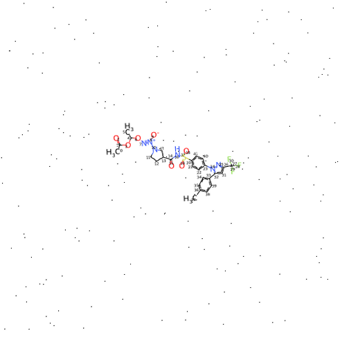 CC(=O)OC(C)O/N=[N+](\[O-])N1CCC(C(=O)NS(=O)(=O)c2ccc(-n3nc(C(F)(F)F)cc3-c3ccc(C)cc3)cc2)C1